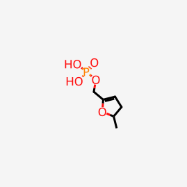 CC1CC=C(COP(=O)(O)O)O1